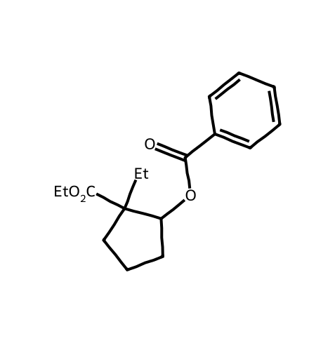 CCOC(=O)C1(CC)CCCC1OC(=O)c1ccccc1